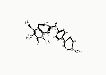 C#Cc1c(C)c(=O)n(C)c2nc(Nc3ccc(N4CCN(C)CC4)cc3)ncc12